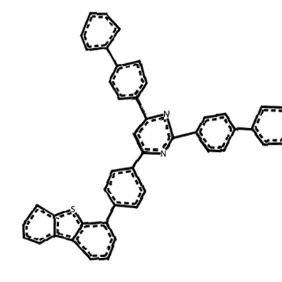 c1ccc(-c2ccc(-c3cc(-c4ccc(-c5cccc6c5sc5ccccc56)cc4)nc(-c4ccc(-c5ccncc5)cc4)n3)cc2)cc1